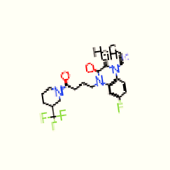 C=C1C(=O)N(CCCC(=O)N2CCCC(C(F)(F)F)C2)c2cc(F)ccc2N1/C=C\C